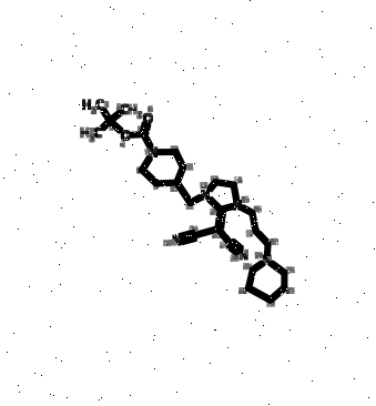 CC(C)(C)OC(=O)N1CCC(CN2CCN(CCCN3CCCCC3)C2=C(C#N)C#N)CC1